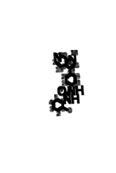 Cc1ccccc1NC(=O)Nc1ccc(-c2cn(C)c3cnccc23)cc1